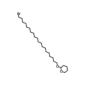 BrCCCCCCCCCCCCCCCCCCCCOC1CCCCO1